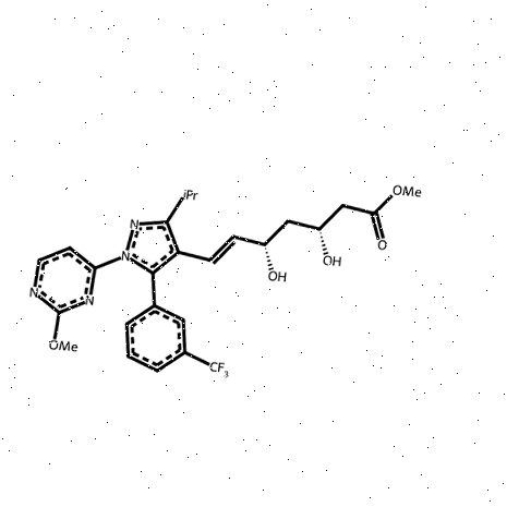 COC(=O)C[C@H](O)C[C@H](O)/C=C/c1c(C(C)C)nn(-c2ccnc(OC)n2)c1-c1cccc(C(F)(F)F)c1